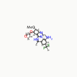 COc1cc2nc(C)nc(N[C@H](C)c3cc(N)cc(C(C)(F)F)c3)c2cc1O[C@H]1CCOC1